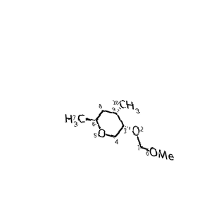 COCO[C@@H]1CO[C@@H](C)C[C@@H]1C